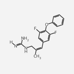 [H]/N=C(\N)NCC(C)=Cc1cc(F)c(Oc2ccccc2)c(F)c1